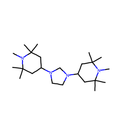 CN1C(C)(C)CC(N2CCN(C3CC(C)(C)N(C)C(C)(C)C3)C2)CC1(C)C